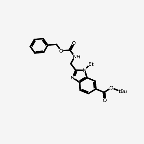 CCn1c(CNC(=O)OCc2ccccc2)nc2ccc(C(=O)OC(C)(C)C)cc21